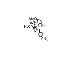 CCn1c(C(C)NS(=O)(=O)c2cc(Br)ccc2OC)cnc1Oc1ccc(C)cc1